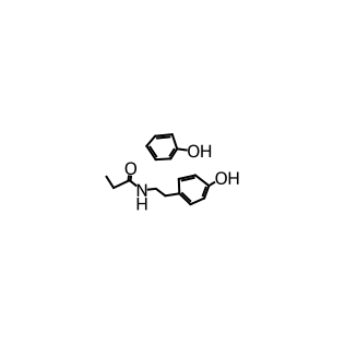 CCC(=O)NCCc1ccc(O)cc1.Oc1ccccc1